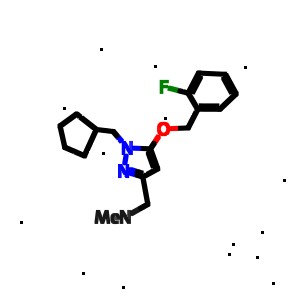 CNCc1cc(OCc2ccccc2F)n(CC2CCCC2)n1